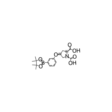 CC1(C)OB(c2cccc(O[C@H]3C[C@@H](C(=O)O)N(C(=O)O)C3)c2)OC1(C)C